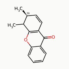 CC1c2oc3ccccc3c(=O)c2C=C[C@@H]1C